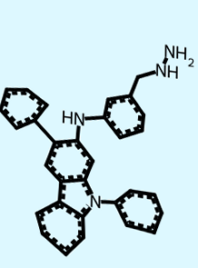 NNCc1cccc(Nc2cc3c(cc2-c2ccccc2)c2ccccc2n3-c2ccccc2)c1